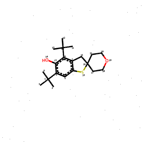 CC(C)(C)c1cc2c(c(C(C)(C)C)c1O)CC1(CCOCC1)S2